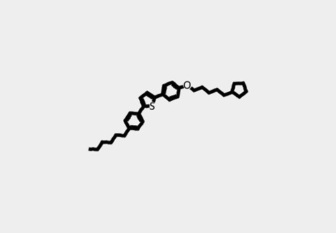 CCCCCCc1ccc(-c2ccc(-c3ccc(OCCCCCC4CCCC4)cc3)s2)cc1